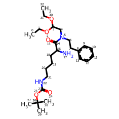 CCOC(CN(CCc1ccccc1)C(=O)C(N)CCCCNC(=O)OC(C)(C)C)OCC